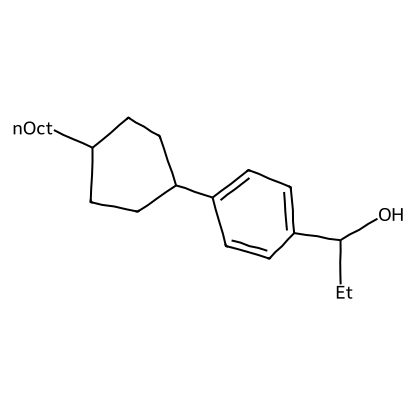 CCCCCCCCC1CCC(c2ccc(C(O)CC)cc2)CC1